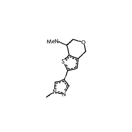 CNC1COCc2cc(-c3cnn(C)c3)sc21